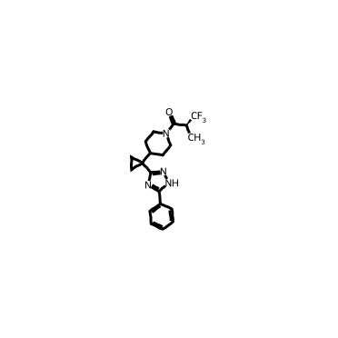 C[C@@H](C(=O)N1CCC(C2(c3n[nH]c(-c4ccccc4)n3)CC2)CC1)C(F)(F)F